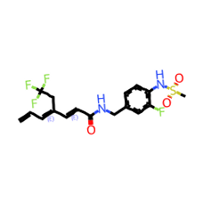 C=C/C=C(/C=C/C(=O)NCc1ccc(NS(C)(=O)=O)c(F)c1)CC(F)(F)F